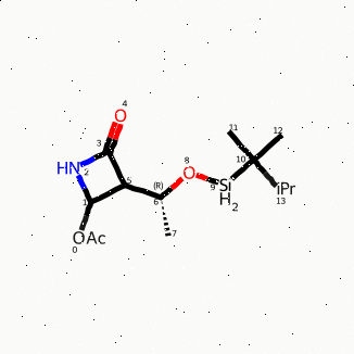 CC(=O)OC1NC(=O)C1[C@@H](C)O[SiH2]C(C)(C)C(C)C